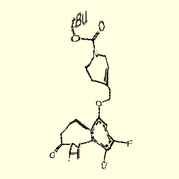 CC(C)(C)OC(=O)N1CC=C(COc2cc(F)c(Cl)c3c2CCC(=O)N3)CC1